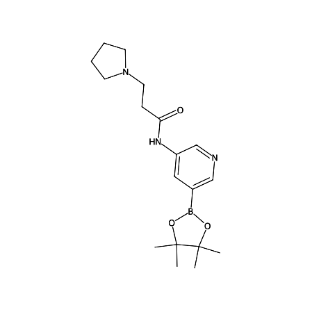 CC1(C)OB(c2cncc(NC(=O)CCN3CCCC3)c2)OC1(C)C